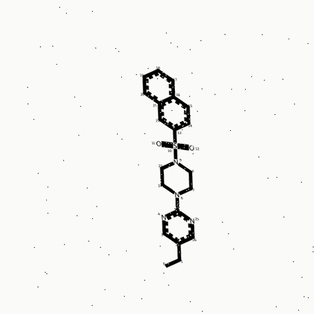 CCc1cnc(N2CCN(S(=O)(=O)c3ccc4ccccc4c3)CC2)nc1